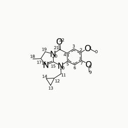 COc1cc2c(cc1OC)N(CC1CC1)C1=NC(C)CN1C2=O